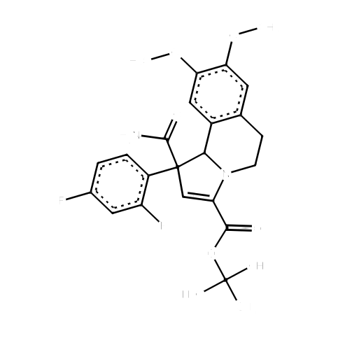 COc1cc2c(cc1OC)C1N(CC2)C(C(=O)OC(C)(C)C)=CC1(C(N)=O)c1ccc(F)cc1F